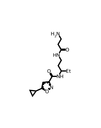 CCC(CCNC(=O)CCN)NC(=O)c1cc(C2CC2)on1